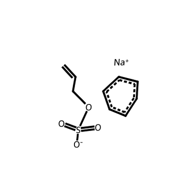 C=CCOS(=O)(=O)[O-].[Na+].c1ccccc1